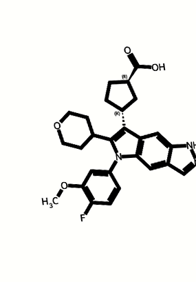 COc1cc(-n2c(C3CCOCC3)c([C@@H]3CC[C@@H](C(=O)O)C3)c3cc4[nH]ncc4cc32)ccc1F